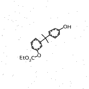 CCOC(=O)Oc1cccc(C(C)(C)c2ccc(O)cc2)c1